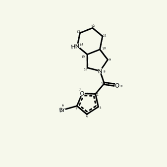 O=C(c1ccc(Br)o1)N1CC2CCCNC2C1